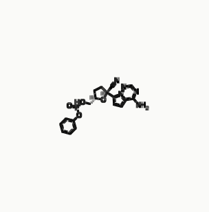 N#C[C@]1(c2ccc3c(N)ncnn23)CC[C@@H](CO[PH](=O)Oc2ccccc2)O1